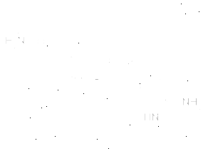 N=C(N)Cc1ccc(OCCON)cc1